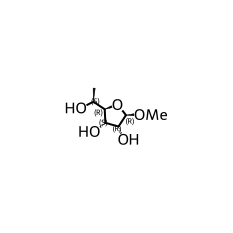 CO[C@@H]1O[C@H]([C@H](C)O)[C@@H](O)[C@H]1O